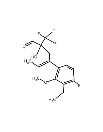 CC=C(CC(O)(C=O)C(F)(F)F)c1ccc(F)c(CC)c1OC